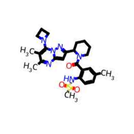 Cc1ccc(NS(C)(=O)=O)c(C(=O)N2CCCCC2c2cc3nc(C)c(C)c(N4CCC4)n3n2)c1